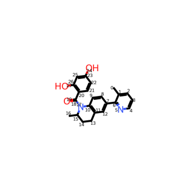 Cc1cccnc1-c1ccc2c(c1)CCC(C)N2C(=O)c1ccc(O)cc1O